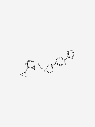 c1cnn(-c2ccc(N3CC[C@H](COc4ccnc(C5CC5)n4)C3)cn2)c1